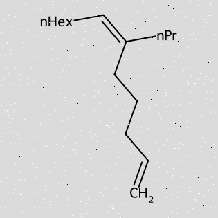 C=CCCCC(=CCCCCCC)CCC